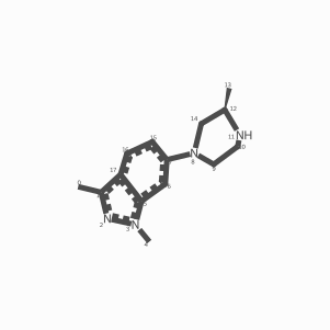 Cc1nn(C)c2cc(N3CCN[C@H](C)C3)ccc12